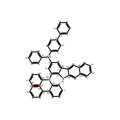 c1ccc(-c2ccc(N(c3ccccc3)c3cc(N(c4ccccc4)c4ccccc4-c4ccccc4)c4sc5cc6ccccc6cc5c4c3)cc2)cc1